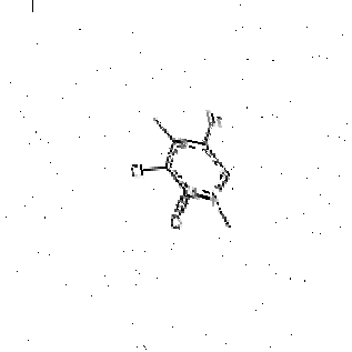 Cc1c(Br)cn(C)c(=O)c1Cl